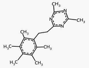 Cc1nc(C)nc(CCc2c(C)c(C)c(C)c(C)c2C)n1